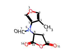 Cc1cocc1N(C=O)C1CC(=O)OC1=O